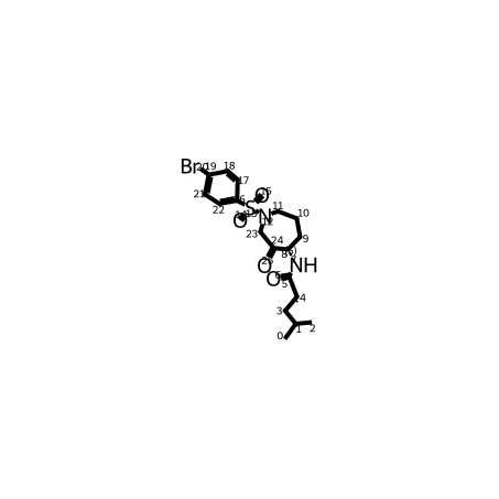 CC(C)C[CH]C(=O)N[C@H]1CCCN(S(=O)(=O)c2ccc(Br)cc2)CC1=O